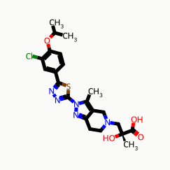 Cc1c2c(nn1-c1nnc(-c3ccc(OC(C)C)c(Cl)c3)s1)CCN(C[C@@](C)(O)C(=O)O)C2